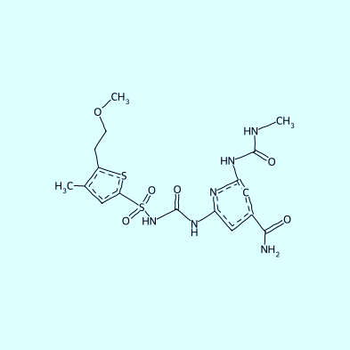 CNC(=O)Nc1cc(C(N)=O)cc(NC(=O)NS(=O)(=O)c2cc(C)c(CCOC)s2)n1